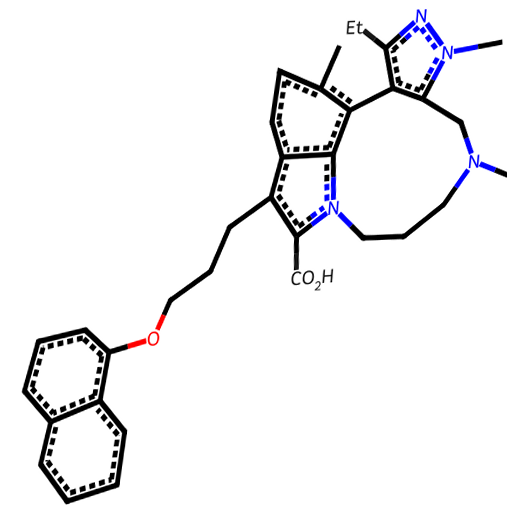 CCc1nn(C)c2c1-c1c(C)ccc3c(CCCOc4cccc5ccccc45)c(C(=O)O)n(c13)CCCN(C)C2